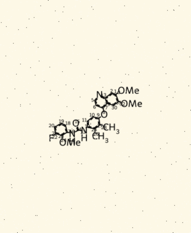 COc1cc2nccc(Oc3ccc(NC(=O)Nc4cccc(F)c4OC)c(C)c3C)c2cc1OC